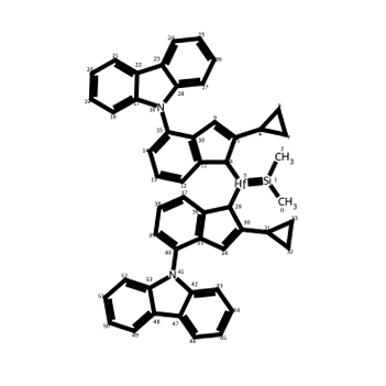 C[Si](C)=[Hf]([CH]1C(C2CC2)=Cc2c1cccc2-n1c2ccccc2c2ccccc21)[CH]1C(C2CC2)=Cc2c1cccc2-n1c2ccccc2c2ccccc21